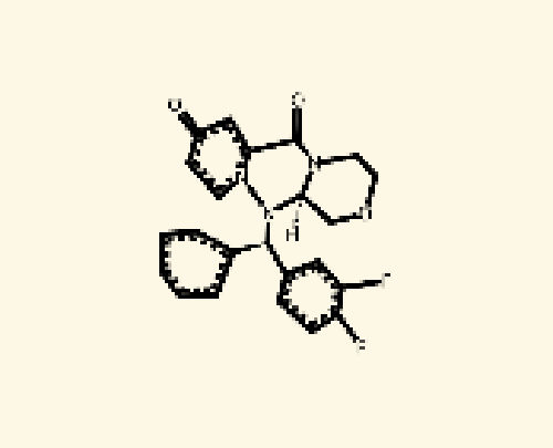 O=C1c2cc(=O)ccn2N([C@H](c2ccccc2)c2ccc(F)c(F)c2)[C@@H]2COCCN12